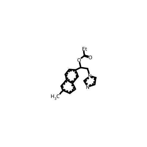 CCC(=O)OC(Cn1ccnc1)c1ccc2cc(C)ccc2c1